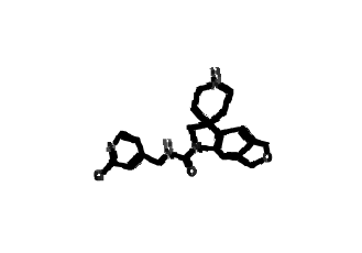 O=C(NCc1ccnc(Cl)c1)N1CC2(CCNCC2)c2cc3c(cc21)COC3